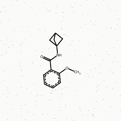 COc1ccccc1C(=O)NC12CC(C1)C2